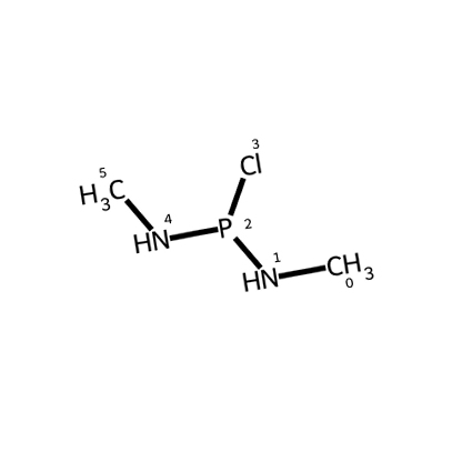 CNP(Cl)NC